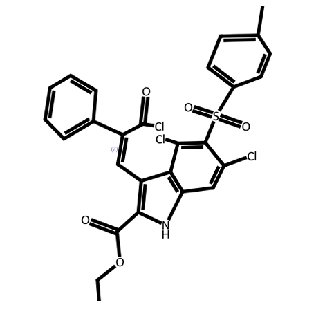 CCOC(=O)c1[nH]c2cc(Cl)c(S(=O)(=O)c3ccc(C)cc3)c(Cl)c2c1/C=C(\C(=O)Cl)c1ccccc1